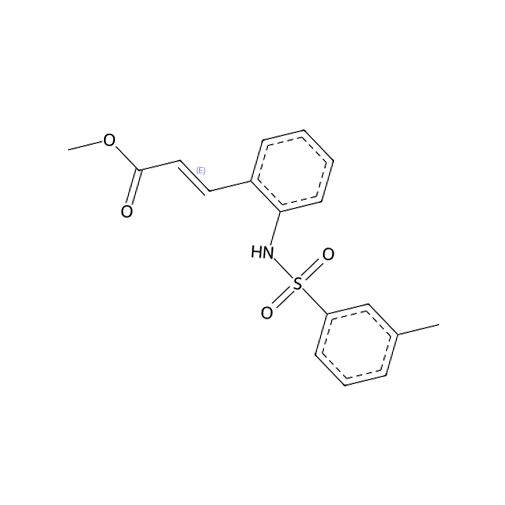 COC(=O)/C=C/c1ccccc1NS(=O)(=O)c1cccc(C)c1